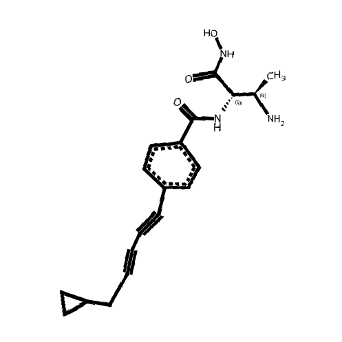 C[C@@H](N)[C@H](NC(=O)c1ccc(C#CC#CCC2CC2)cc1)C(=O)NO